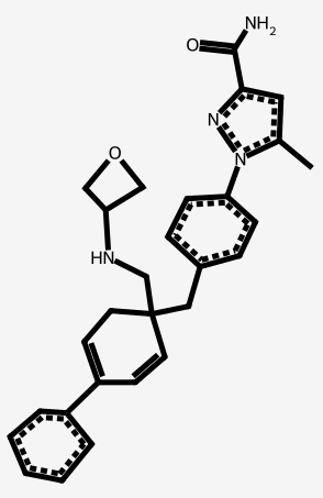 Cc1cc(C(N)=O)nn1-c1ccc(CC2(CNC3COC3)C=CC(c3ccccc3)=CC2)cc1